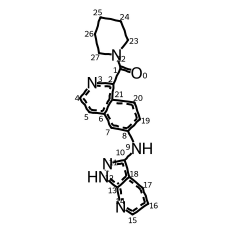 O=C(c1nccc2cc(Nc3n[nH]c4ncccc34)ccc12)N1CCCCC1